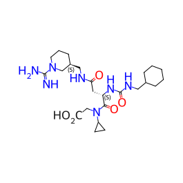 N=C(N)N1CCC[C@@H](CNC(=O)C[C@H](NC(=O)NCC2CCCCC2)C(=O)N(CC(=O)O)C2CC2)C1